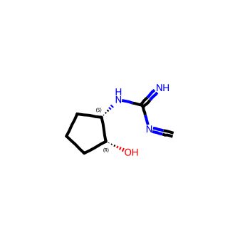 C=NC(=N)N[C@H]1CCC[C@H]1O